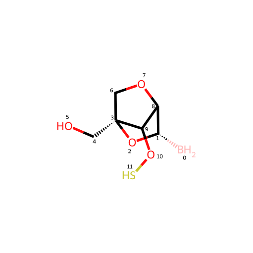 B[C@@H]1O[C@@]2(CO)COC1C2OS